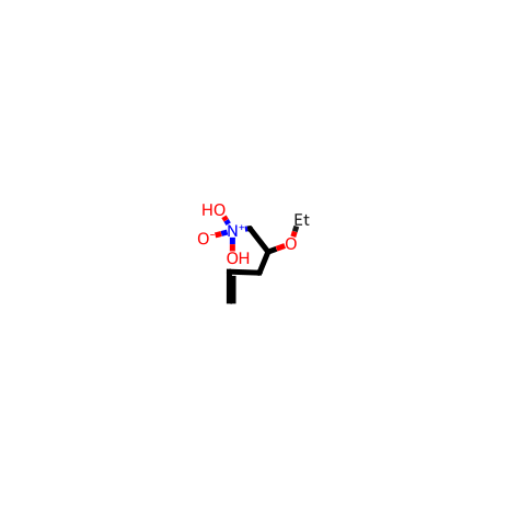 C=CCC(C[N+]([O-])(O)O)OCC